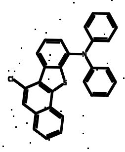 Clc1cc2ccccc2c2sc3c(N(c4ccccc4)c4ccccc4)cccc3c12